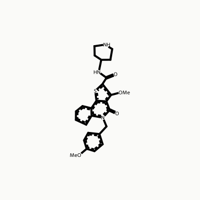 COc1ccc(Cn2c(=O)c3c(OC)c(C(=O)NC4CCNCC4)sc3c3ccccc32)cc1